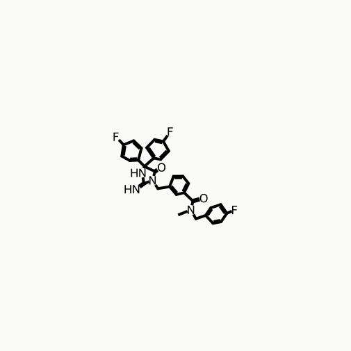 CN(Cc1ccc(F)cc1)C(=O)c1cccc(CN2C(=N)NC(c3ccc(F)cc3)(c3ccc(F)cc3)C2=O)c1